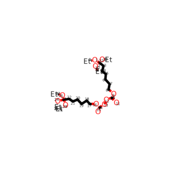 CCOC(CCCCCCOC(=O)OOC(=O)OCCCCCCC(OCC)(OCC)OCC)(OCC)OCC